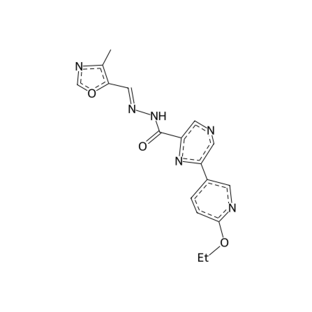 CCOc1ccc(-c2cncc(C(=O)N/N=C/c3ocnc3C)n2)cn1